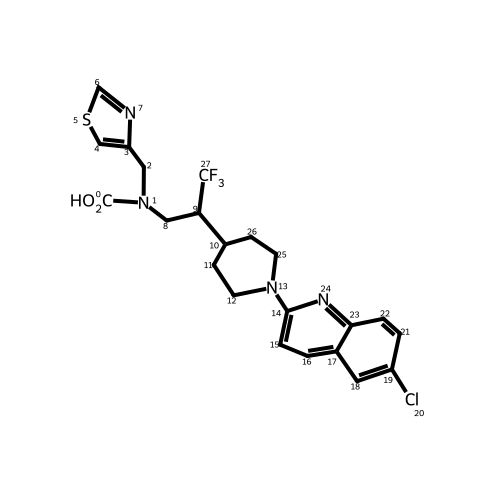 O=C(O)N(Cc1cscn1)CC(C1CCN(c2ccc3cc(Cl)ccc3n2)CC1)C(F)(F)F